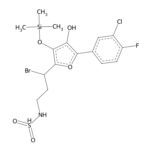 C[Si](C)(C)Oc1c(C(Br)CCN[SH](=O)=O)oc(-c2ccc(F)c(Cl)c2)c1O